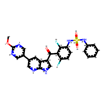 COc1ncc(-c2cnc3[nH]cc(C(=O)c4c(F)ccc(NS(=O)(=O)Nc5ccccc5)c4F)c3c2)cn1